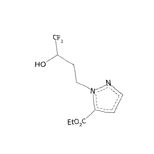 CCOC(=O)c1ccnn1CCC(O)C(F)(F)F